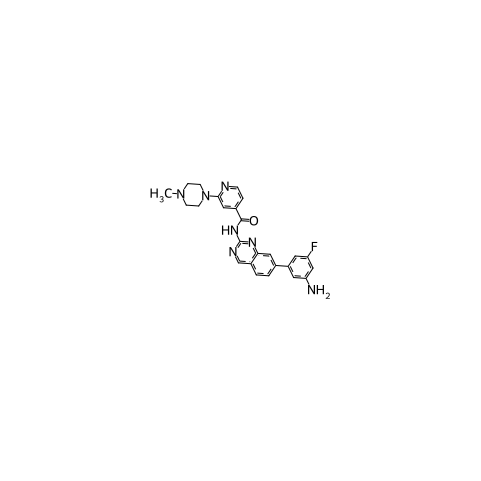 CN1CCN(c2cc(C(=O)Nc3ncc4ccc(-c5cc(N)cc(F)c5)cc4n3)ccn2)CC1